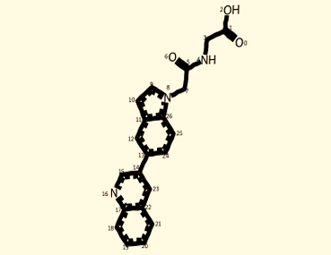 O=C(O)CNC(=O)Cn1ccc2cc(-c3cnc4ccccc4c3)ccc21